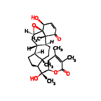 CC1=C(C)C(=O)O[C@@H]([C@](C)(O)[C@H]2CC[C@H]3[C@@H]4C[C@H]5O[C@]56[C@@H](O)C=CC(=O)[C@]6(C)[C@H]4CC[C@]23C)C1